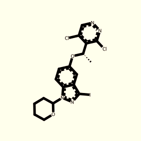 C[C@H](Oc1ccc2c(c1)c(I)nn2C1CCCCO1)c1c(Cl)cnnc1Cl